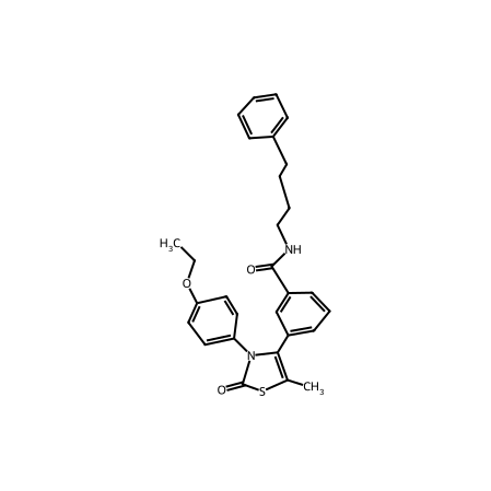 CCOc1ccc(-n2c(-c3cccc(C(=O)NCCCCc4ccccc4)c3)c(C)sc2=O)cc1